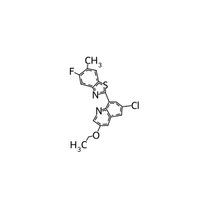 CCOc1cnc2c(-c3nc4cc(F)c(C)cc4s3)cc(Cl)cc2c1